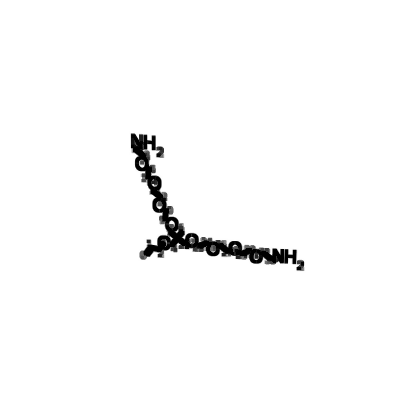 C=CCOCC(C)(COCCOCCOCCOCCN)COCCOCCOCCOCCN